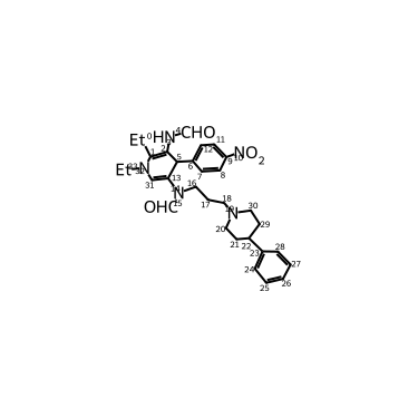 CCC1=C(NC=O)C(c2ccc([N+](=O)[O-])cc2)C(N(C=O)CCCN2CCC(c3ccccc3)CC2)=CN1CC